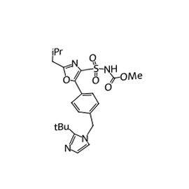 COC(=O)NS(=O)(=O)c1nc(CC(C)C)oc1-c1ccc(Cn2ccnc2C(C)(C)C)cc1